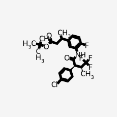 CC(CC(=O)OC(C)(C)C)c1ccc(F)c(NC(=O)[C@H](C2C=CC(Cl)=CC2)[C@@H](C)C(F)(F)F)c1